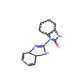 O=c1[nH]c2ccccc2n1C1=NC2C=CC=CC2N1